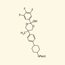 CCCCCC1CCC(c2ccc(C3(C)COC(O)(c4cc(F)c(F)c(F)c4)OC3)cc2)CC1